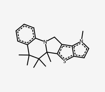 Cn1ccc2sc3c(c21)CN1c2ccccc2C(C)(C)C(C)(C)C31C